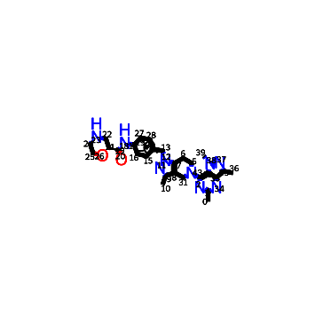 Cc1nc(N2CCc3c(c(C)nn3CC34CCC(NC(=O)[C@@H]5CNCCO5)(CC3)CC4)C2)c2c(n1)c(C)nn2C